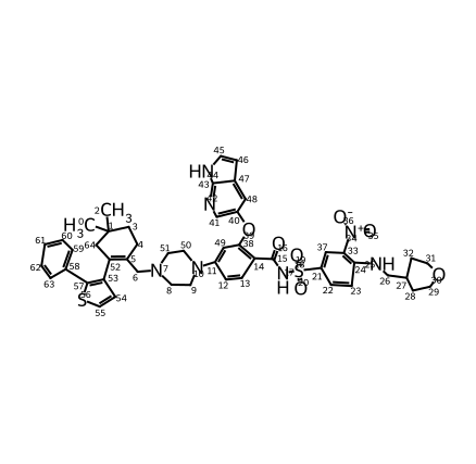 CC1(C)CCC(CN2CCN(c3ccc(C(=O)NS(=O)(=O)c4ccc(NCC5CCOCC5)c([N+](=O)[O-])c4)c(Oc4cnc5[nH]ccc5c4)c3)CC2)=C(c2ccsc2-c2ccccc2)C1